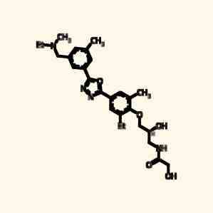 CCc1cc(-c2nnc(-c3cc(C)cc(CN(C)CC)c3)o2)cc(C)c1OC[C@@H](O)CNC(=O)CO